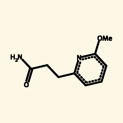 COc1cccc(CCC(N)=O)n1